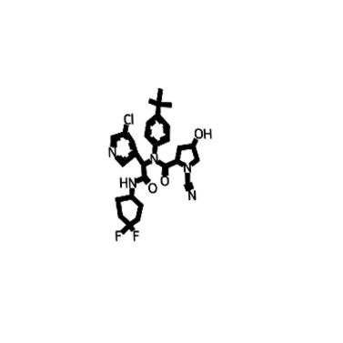 CC(C)(C)c1ccc(N(C(=O)C2CC(O)CN2C#N)C(C(=O)NC2CCC(F)(F)CC2)c2cncc(Cl)c2)cc1